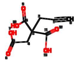 C#CCC(CC(=O)O)(C(=O)O)C(=O)O